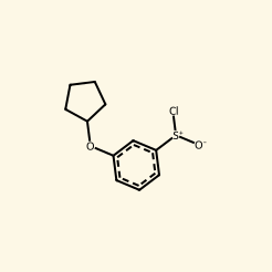 [O-][S+](Cl)c1cccc(OC2CCCC2)c1